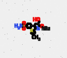 CCCCOc1nc(-c2cc(C)cs2)c(-c2ccc(S(N)(=O)=O)cc2)cc1CO